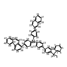 CC1(C)c2ccccc2-c2cc(-c3ccc(N(c4ccc(-c5ccc6ccccc6c5)cc4)c4ccc(-c5cccc6c5ccc5ccccc56)cc4)cc3)ccc21